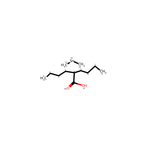 CCCCC(CCCC)C(=O)O.[CH3][Sn][CH3]